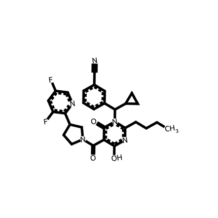 CCCCc1nc(O)c(C(=O)N2CCC(c3ncc(F)cc3F)C2)c(=O)n1C(c1cccc(C#N)c1)C1CC1